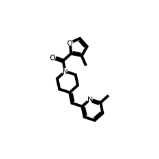 Cc1cccc(C=C2CCN(C(=O)c3occc3C)CC2)n1